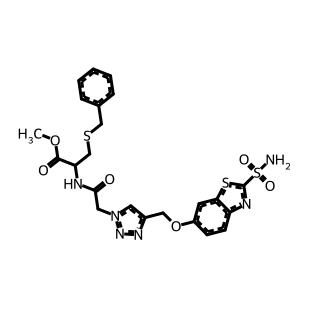 COC(=O)C(CSCc1ccccc1)NC(=O)Cn1cc(COc2ccc3nc(S(N)(=O)=O)sc3c2)nn1